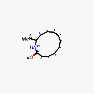 CNC1CCCCCCCCCC(=O)N1